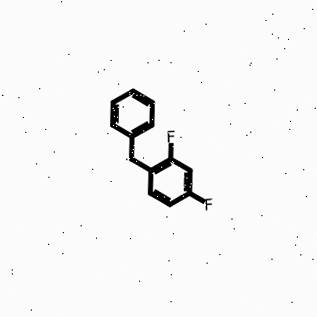 Fc1ccc([CH]c2ccccc2)c(F)c1